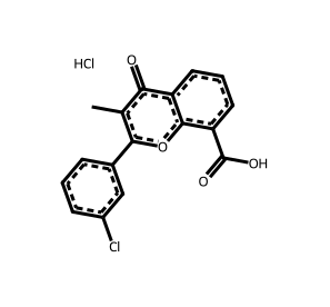 Cc1c(-c2cccc(Cl)c2)oc2c(C(=O)O)cccc2c1=O.Cl